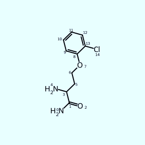 NC(=O)C(N)CCOc1ccccc1Cl